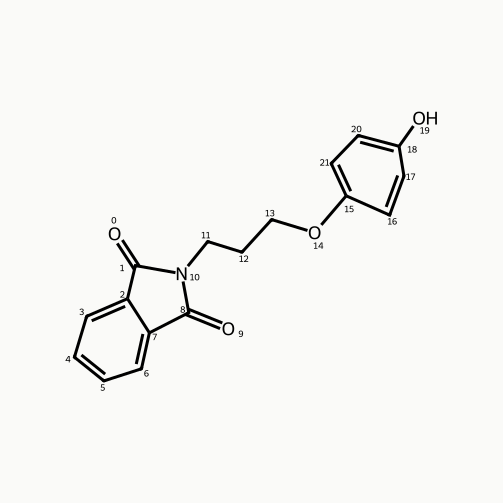 O=C1c2ccccc2C(=O)N1CCCOc1ccc(O)cc1